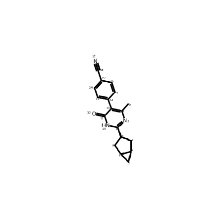 Cc1nc(C2CC3CC3C2)[nH]c(=O)c1-c1ccc(C#N)cc1